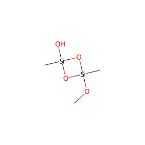 CO[Si]1(C)O[Si](C)(O)O1